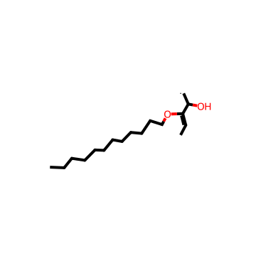 [CH2]C(O)C(=CC)OCCCCCCCCCCCC